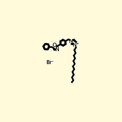 CCCCCCCCCCCCCC[n+]1ccn(Cc2ccc(-c3ncc(-c4ccccc4)o3)cc2)c1.[Br-]